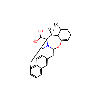 CC1CCC=C2OC3Cc4cc5cccc6c5cc4CN3C(C(O)O)(C6)C(C)C21